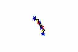 c1ncc(-c2ccc(-c3nc4cc5cc6oc(-c7ccc(-c8cncnc8)s7)nc6cc5cc4o3)s2)cn1